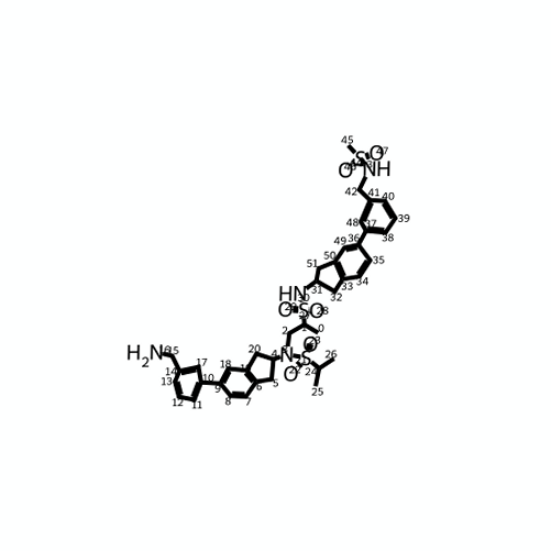 CC(CN(C1Cc2ccc(-c3cccc(CN)c3)cc2C1)S(=O)(=O)C(C)C)S(=O)(=O)NC1Cc2ccc(-c3cccc(CNS(C)(=O)=O)c3)cc2C1